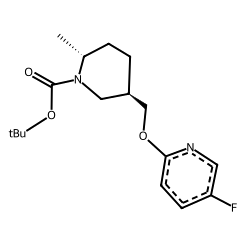 C[C@@H]1CC[C@@H](COc2ccc(F)cn2)CN1C(=O)OC(C)(C)C